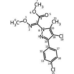 CON=C(C(=O)OC)n1nc(-c2ccc(Cl)cc2)c(Cl)c1C